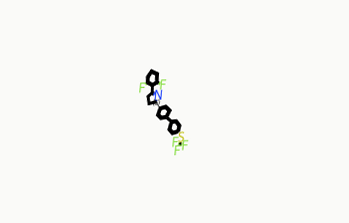 Fc1cccc(F)c1C1=N[C@H](c2ccc(-c3ccc(SC(F)(F)F)cc3)cc2)CC1